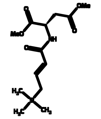 COC(=O)C[C@H](NC(=O)C=CC[Si](C)(C)C)C(=O)OC